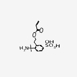 C=CC(=O)OCCc1ccccc1C(C)(C)N.O=S(=O)(O)O